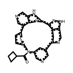 O=C(C1CCC1)n1c2cncc(c2)c2cc3c(cn2)[nH]nc3c2nc3c(cncc3c3ccc1s3)[nH]2